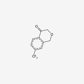 O=C1COCc2cc(C(F)(F)F)ccc21